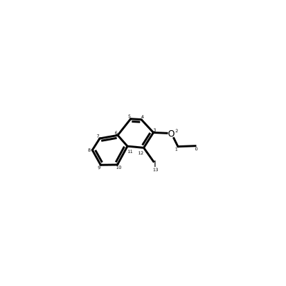 CCOc1ccc2ccccc2c1I